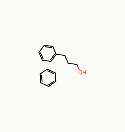 OCCCc1ccccc1.c1ccccc1